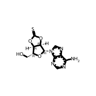 Nc1ncnc2c1ncn2[C@@H]1O[C@H](CO)[C@H]2OC(=S)O[C@H]21